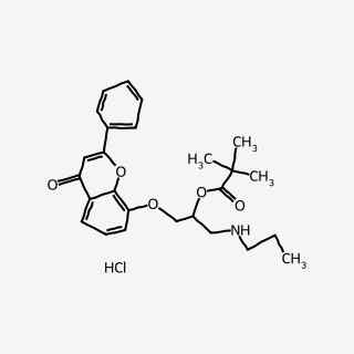 CCCNCC(COc1cccc2c(=O)cc(-c3ccccc3)oc12)OC(=O)C(C)(C)C.Cl